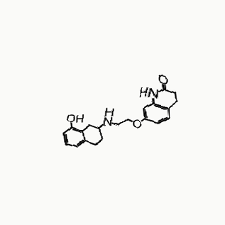 O=C1CCc2ccc(OCCNC3CCc4cccc(O)c4C3)cc2N1